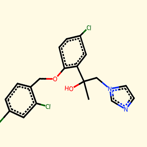 CC(O)(Cn1ccnc1)c1cc(Cl)ccc1OCc1ccc(Cl)cc1Cl